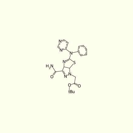 CC(C)(C)OC(=O)CN1N=C(C(N)=O)C2N=C(N(c3ccccc3)c3ccncn3)SC21